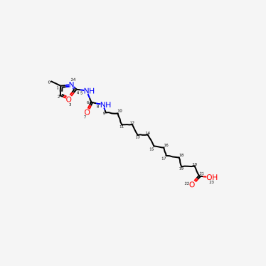 Cc1coc(NC(=O)NCCCCCCCCCCCCC(=O)O)n1